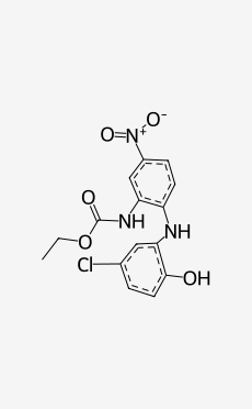 CCOC(=O)Nc1cc([N+](=O)[O-])ccc1Nc1cc(Cl)ccc1O